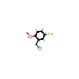 COc1ccc(F)cc1CCl